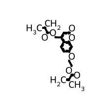 C=C(C)C(=O)OCCOc1ccc2c(COC(=O)C(=C)C)cc(=O)oc2c1